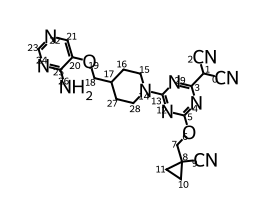 N#CC(C#N)c1nc(OCC2(C#N)CC2)nc(N2CCC(COc3cncnc3N)CC2)n1